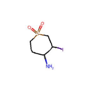 NC1CCS(=O)(=O)CC1I